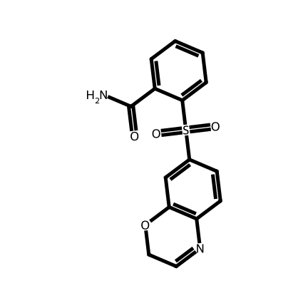 NC(=O)c1ccccc1S(=O)(=O)c1ccc2c(c1)OCC=N2